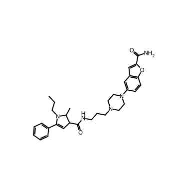 CCCN1C(c2ccccc2)=CC(C(=O)NCCCN2CCN(c3ccc4oc(C(N)=O)cc4c3)CC2)C1C